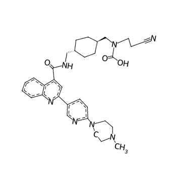 CN1CCN(c2ccc(-c3cc(C(=O)NC[C@H]4CC[C@H](CN(CCC#N)C(=O)O)CC4)c4ccccc4n3)cn2)CC1